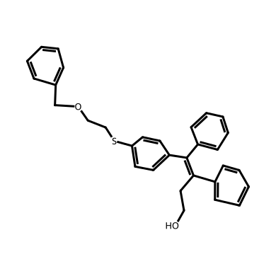 OCCC(=C(c1ccccc1)c1ccc(SCCOCc2ccccc2)cc1)c1ccccc1